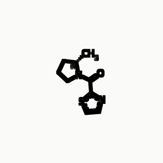 C[C@H]1CCCN1C(=O)c1nccs1